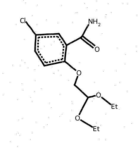 CCOC(COc1ccc(Cl)cc1C(N)=O)OCC